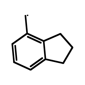 [CH2]c1cccc2c1CCC2